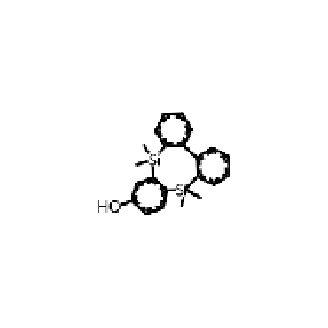 C[Si]1(C)c2ccccc2-c2ccccc2[Si](C)(C)c2cc(O)ccc21